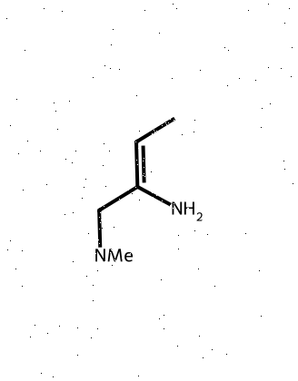 CC=C(N)CNC